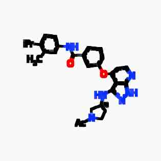 CC(=O)N1CC[C@H](Nc2n[nH]c3nccc(Oc4cccc(C(=O)Nc5ccc(C(C)C)c(C)c5)c4)c23)C1